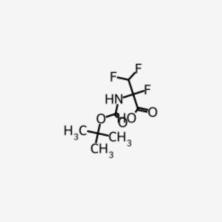 CC(C)(C)OC(=O)NC(F)(C(=O)O)C(F)F